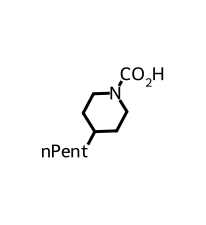 CCCCCC1CCN(C(=O)O)CC1